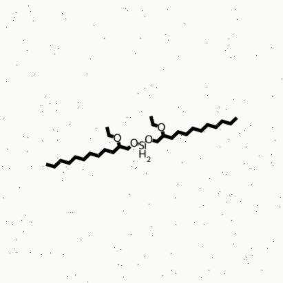 CCCCCCCCCCC(CO[SiH2]OCC(CCCCCCCCCC)OCC)OCC